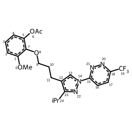 COc1cccc(OC(C)=O)c1OCCCc1cn(-c2ccc(C(F)(F)F)nn2)nc1C(C)C